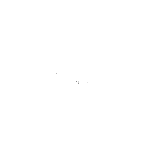 O=[N+]([O-])O.c1ccc2cnccc2c1